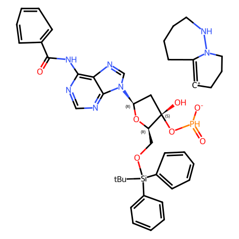 CC(C)(C)[Si](OC[C@H]1O[C@@H](n2cnc3c(NC(=O)c4ccccc4)ncnc32)C[C@]1(O)O[PH](=O)[O-])(c1ccccc1)c1ccccc1.[C+]1=C2CCCCNN2CCC1